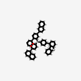 c1ccc(-c2ccc(-c3ccc4ccccc4c3)cc2N(c2ccc(-c3cccc4ccccc34)cc2)c2ccc(-c3cccc4oc5ccccc5c34)cc2)cc1